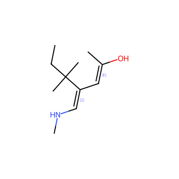 CCC(C)(C)C(=C\NC)/C=C(\C)O